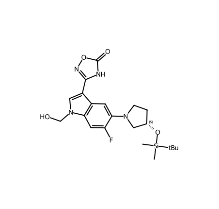 CC(C)(C)[Si](C)(C)O[C@H]1CCN(c2cc3c(-c4noc(=O)[nH]4)cn(CO)c3cc2F)C1